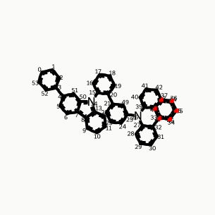 c1ccc(-c2ccc3c4ccccc4n(-c4ccccc4-c4cccc(N(c5ccccc5-c5ccccc5)c5cccc6ccccc56)c4)c3c2)cc1